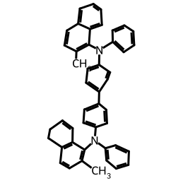 Cc1ccc2c(c1N(c1ccccc1)c1ccc(-c3ccc(N(c4ccccc4)c4c(C)ccc5ccccc45)cc3)cc1)C=CCC2